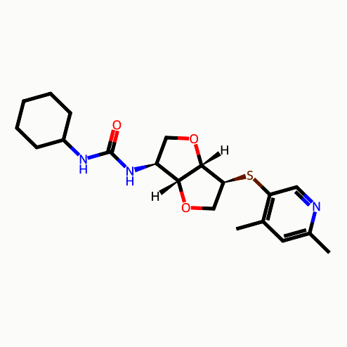 Cc1cc(C)c(S[C@H]2CO[C@H]3[C@@H]2OC[C@@H]3NC(=O)NC2CCCCC2)cn1